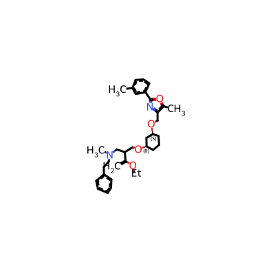 C=C(OCC)C(CO[C@@H]1CCC[C@H](OCc2nc(-c3cccc(C)c3)oc2C)C1)CN(C)CCc1ccccc1